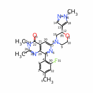 Cc1ccc(-c2nc(N3CCO[C@H](c4cnn(C)c4)C3)cc3c(=O)n(C)c(C)nc23)c(F)c1